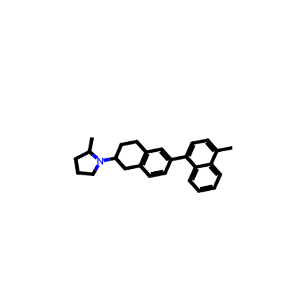 Cc1ccc(-c2ccc3c(c2)CCC(N2CCCC2C)C3)c2ccccc12